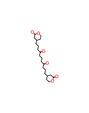 O=C(CCCC(=O)CCCC1CCOC(=O)C1)CCCC1CCOC(=O)C1